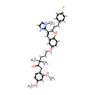 COc1ccc(CC(=O)C(C)(C)CCCOc2ccc3c(c2)C=C(c2nccn2C)C(CCc2ccc(F)cc2)O3)c(OC)c1